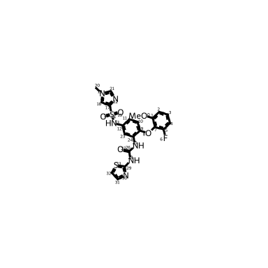 COc1cccc(F)c1Oc1ccc(NS(=O)(=O)c2cn(C)cn2)cc1NC(=O)Nc1nccs1